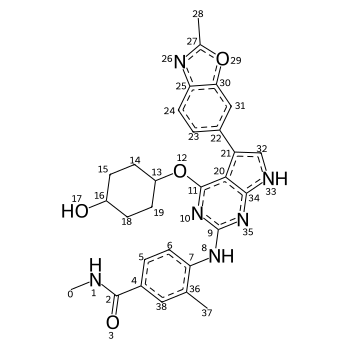 CNC(=O)c1ccc(Nc2nc(OC3CCC(O)CC3)c3c(-c4ccc5nc(C)oc5c4)c[nH]c3n2)c(C)c1